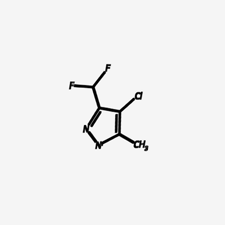 CC1=C(Cl)C(C(F)F)=N[N]1